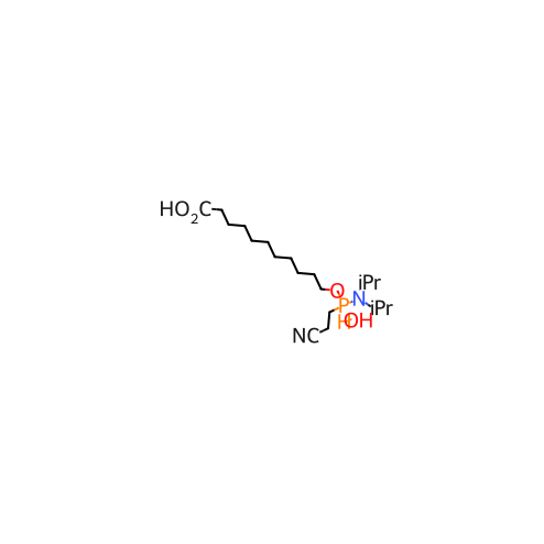 CC(C)N(C(C)C)[PH](O)(CCC#N)OCCCCCCCCCCC(=O)O